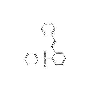 O=S(=O)(c1ccccc1)c1ccccc1N=Nc1ccccc1